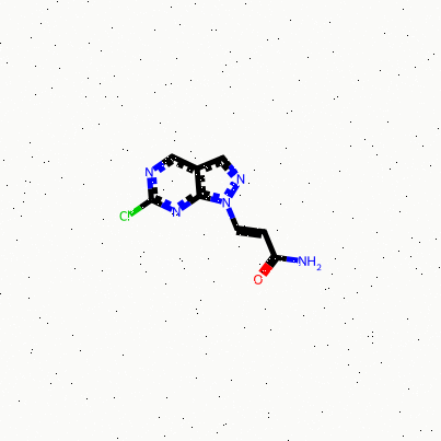 NC(=O)C=Cn1ncc2cnc(Cl)nc21